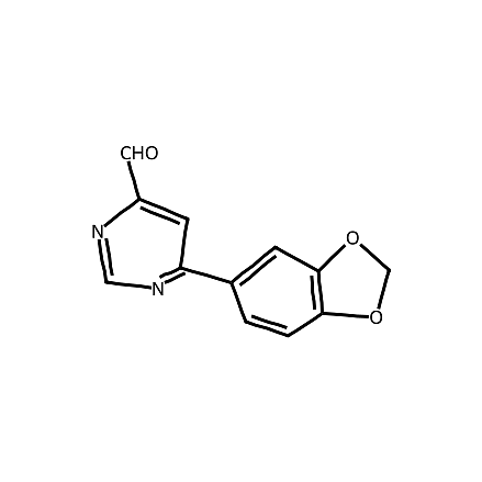 O=Cc1cc(-c2ccc3c(c2)OCO3)ncn1